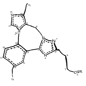 COCCc1nc2n(n1)Cc1c(C)ncn1-c1ccc(I)cc1-2